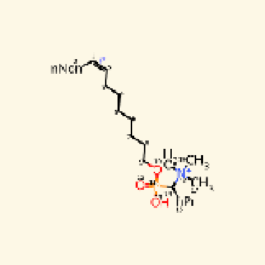 CCCCCCCCC/C=C\CCCCCCCOP(=O)(O)C(CCC)[N+](C)(C)C